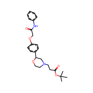 CC(C)(C)OC(=O)CCN1CCOC(c2ccc(OCC(=O)Nc3ccccc3)cc2)C1